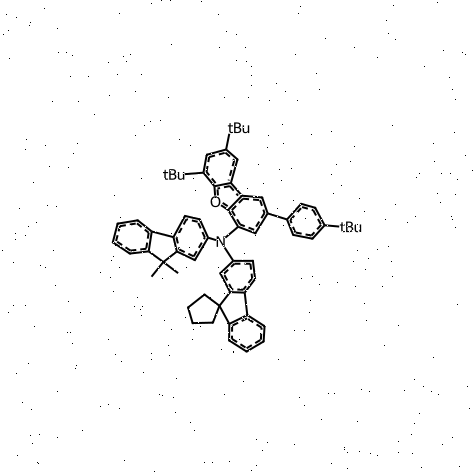 CC(C)(C)c1ccc(-c2cc(N(c3ccc4c(c3)C(C)(C)c3ccccc3-4)c3ccc4c(c3)C3(CCCC3)c3ccccc3-4)c3oc4c(C(C)(C)C)cc(C(C)(C)C)cc4c3c2)cc1